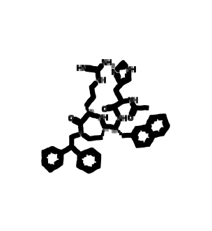 CC(=O)NC(Cc1c[nH]cn1)C(=O)N[C@H](Cc1ccc2ccccc2c1)[C@@H]1CCN(CC(c2ccccc2)c2ccccc2)C(=O)[C@H](CCCNC(=N)N)N1